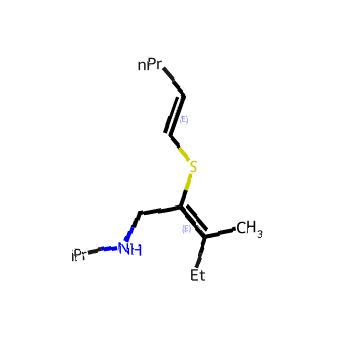 CCC/C=C/S/C(CNC(C)C)=C(\C)CC